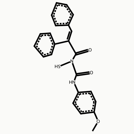 COc1ccc(NC(=O)N(S)C(=O)C(=Cc2ccccc2)c2ccccc2)cc1